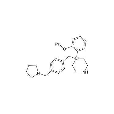 CC(C)Oc1ccccc1[N+]1(Cc2ccc(CN3CCCC3)cc2)CCNCC1